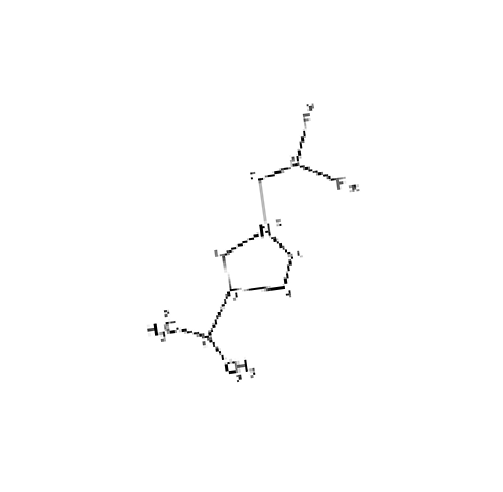 CC(C)C1CCN(CC(F)F)C1